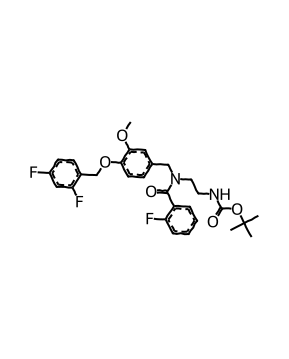 COc1cc(CN(CCNC(=O)OC(C)(C)C)C(=O)c2ccccc2F)ccc1OCc1ccc(F)cc1F